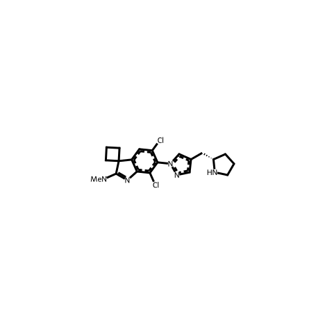 CNC1=Nc2c(cc(Cl)c(-n3cc(C[C@@H]4CCCN4)cn3)c2Cl)C12CCC2